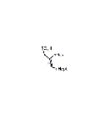 CCCCCCC/C=C(\CCCCCC)CS(=O)(=O)O